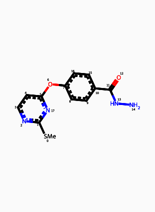 CSc1nccc(Oc2ccc(C(=O)NN)cc2)n1